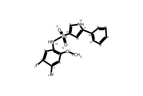 COc1cc(Br)c(F)cc1NS(=O)(=O)c1c[nH]c(-c2ccccc2)c1